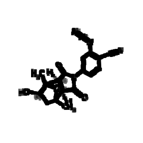 CC12C[C@@H](O)C(C)(O1)[C@H]1C(=O)N(c3ccc(C#N)c(N=[N+]=[N-])c3)C(=O)[C@H]12